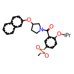 CC(C)Oc1ccc(S(C)(=O)=O)cc1C(=O)N1CCC(Oc2ccc3ccccc3c2)C1